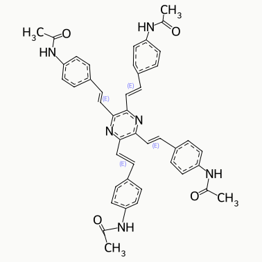 CC(=O)Nc1ccc(/C=C/c2nc(/C=C/c3ccc(NC(C)=O)cc3)c(/C=C/c3ccc(NC(C)=O)cc3)nc2/C=C/c2ccc(NC(C)=O)cc2)cc1